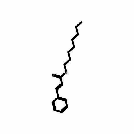 CCCCCCCCOC(=O)/C=C/c1ccccc1